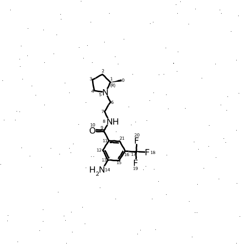 C[C@@H]1CCCN1CCNC(=O)c1cc(N)cc(C(F)(F)F)c1